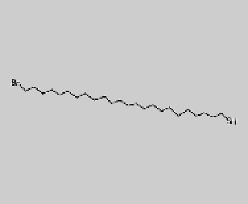 SCCCCCCCCCCCCCCCCCCCCCCCCBr